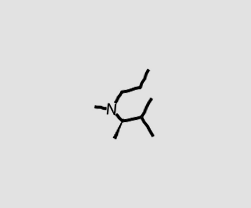 CCCN(C)[C@H](C)C(C)C